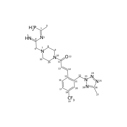 C/C(P)=N/C(=N)CN1CCN(C(=O)/C=C/c2ccc(C(F)(F)F)cc2Cn2nnc(C)n2)CC1